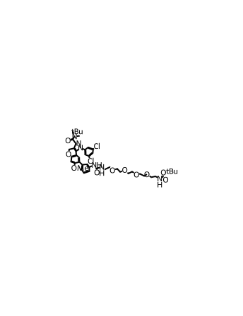 COc1cc2c(cc1-c1cccc(NC(=O)NCCOCCOCCOCCOCCNC(=O)OC(C)(C)C)c1)-c1c(c(C(=O)N(C)C(C)(C)C)nn1-c1cc(Cl)cc(Cl)c1)CO2